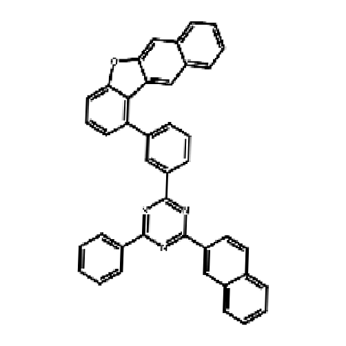 c1ccc(-c2nc(-c3cccc(-c4cccc5oc6cc7ccccc7cc6c45)c3)nc(-c3ccc4ccccc4c3)n2)cc1